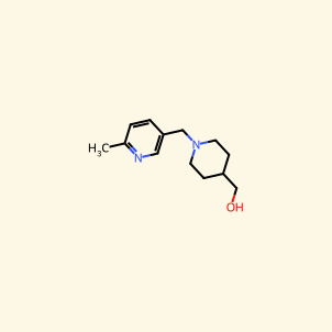 Cc1ccc(CN2CCC(CO)CC2)cn1